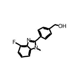 Cn1c(-c2ccc(CO)cc2)nc2c(F)cccc21